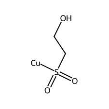 O=[S](=O)([Cu])CCO